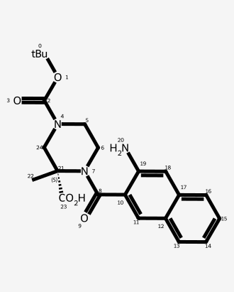 CC(C)(C)OC(=O)N1CCN(C(=O)c2cc3ccccc3cc2N)[C@](C)(C(=O)O)C1